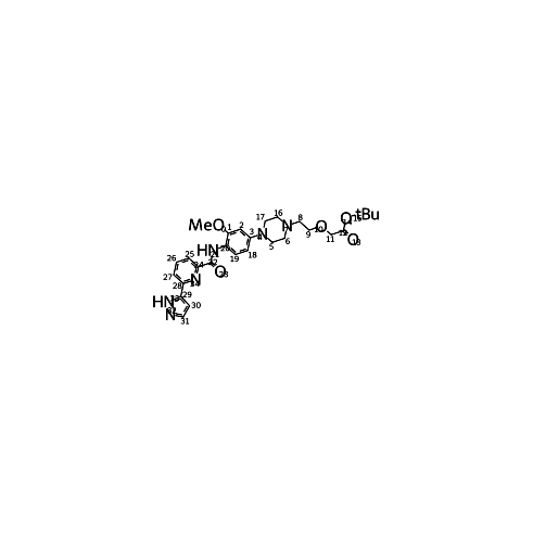 COc1cc(N2CCN(CCOCC(=O)OC(C)(C)C)CC2)ccc1NC(=O)c1cccc(-c2ccn[nH]2)n1